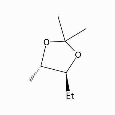 CC[C@@H]1OC(C)(C)O[C@H]1C